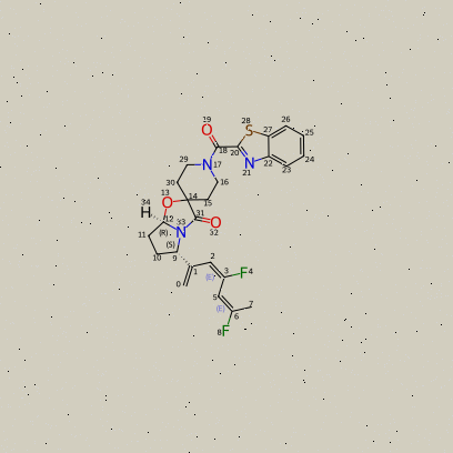 C=C(/C=C(F)\C=C(/C)F)[C@@H]1CC[C@H]2OC3(CCN(C(=O)c4nc5ccccc5s4)CC3)C(=O)N21